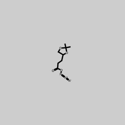 CC1(C)OCC(CCC(=O)ON=[N+]=[N-])O1